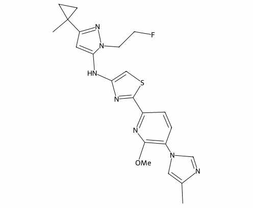 COc1nc(-c2nc(Nc3cc(C4(C)CC4)nn3CCF)cs2)ccc1-n1cnc(C)c1